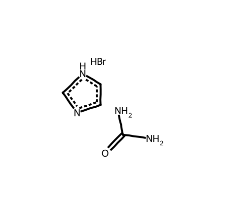 Br.NC(N)=O.c1c[nH]cn1